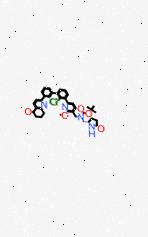 COc1nc(-c2cccc(-c3cccc(-c4ccc5c(n4)CCCC5=O)c3Cl)c2Cl)ccc1CN(C[C@@H]1CCC(=O)N1)C(=O)OC(C)(C)C